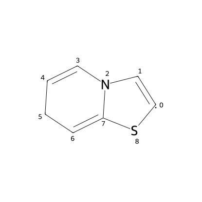 [C]1=CN2C=CCC=C2S1